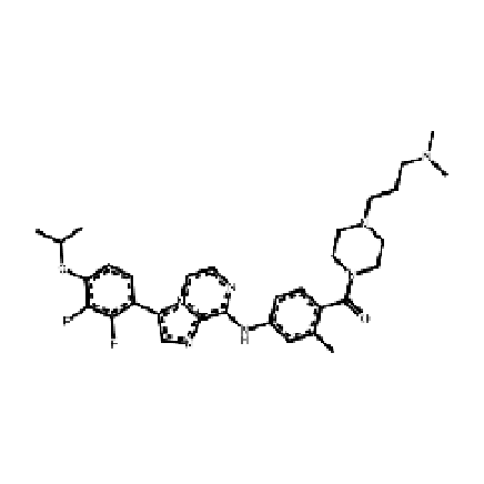 Cc1cc(Nc2nccn3c(-c4ccc(OC(C)C)c(F)c4F)cnc23)ccc1C(=O)N1CCN(CCCN(C)C)CC1